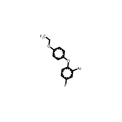 CC(=O)c1cc(F)ccc1Oc1ccc(OCC(F)(F)F)cc1